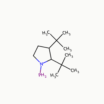 CC(C)(C)C1CCN(P)C1C(C)(C)C